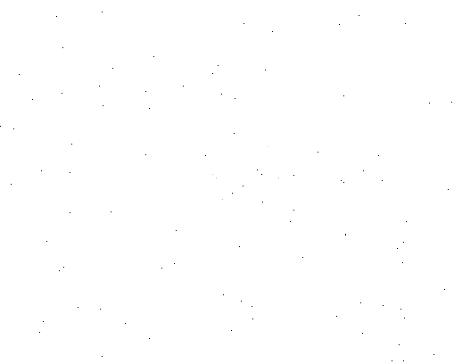 CCCCOC(=O)Nc1cc2nc(-c3ccc(C)cc3)[nH]c2cc1N(CC)CC